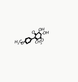 COc1ccc(C2=C(C)C(=O)[C@@H](O)[C@@H](O)C2=O)cc1